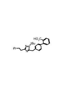 CC(C)CCc1nc(Cc2ccc(-c3ccccc3C(=O)O)cc2)n(C(C)(C)C)n1